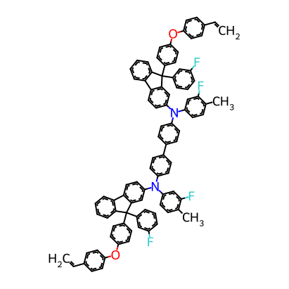 C=Cc1ccc(Oc2ccc(C3(c4cccc(F)c4)c4ccccc4-c4ccc(N(c5ccc(-c6ccc(N(c7ccc(C)c(F)c7)c7ccc8c(c7)C(c7ccc(Oc9ccc(C=C)cc9)cc7)(c7cccc(F)c7)c7ccccc7-8)cc6)cc5)c5ccc(C)c(F)c5)cc43)cc2)cc1